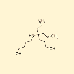 C=CCC(CC=C)(CCCO)NCCCCO